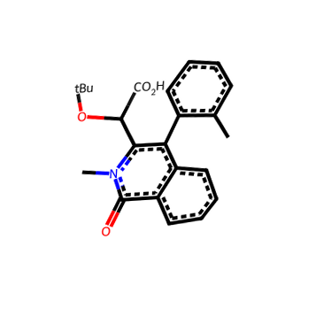 Cc1ccccc1-c1c(C(OC(C)(C)C)C(=O)O)n(C)c(=O)c2ccccc12